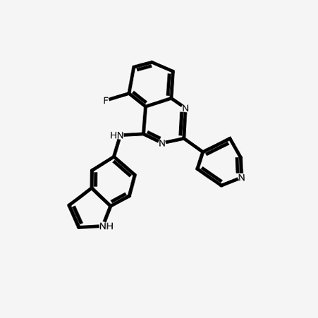 Fc1cccc2nc(-c3ccncc3)nc(Nc3ccc4[nH]ccc4c3)c12